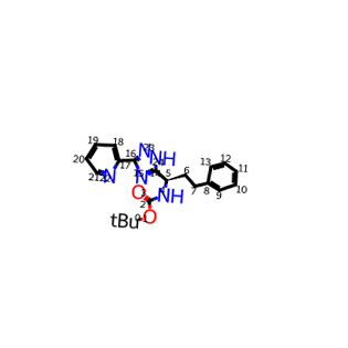 CC(C)(C)OC(=O)N[C@H](CCc1ccccc1)c1nc(-c2ccccn2)n[nH]1